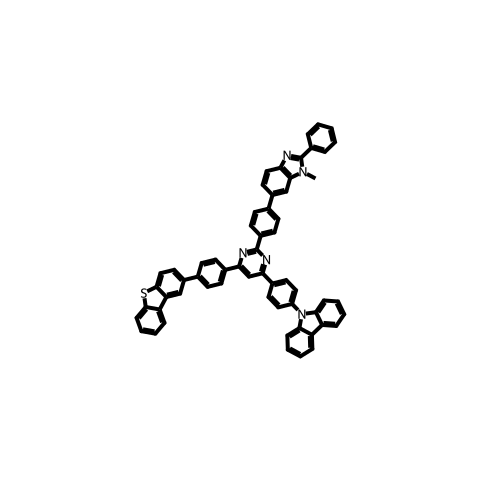 Cn1c(-c2ccccc2)nc2ccc(-c3ccc(-c4nc(-c5ccc(-c6ccc7sc8ccccc8c7c6)cc5)cc(-c5ccc(-n6c7ccccc7c7ccccc76)cc5)n4)cc3)cc21